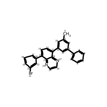 Cc1cc(-c2ccccc2)cc(-c2ccc(-c3cccc(Br)c3)c3nccnc23)c1